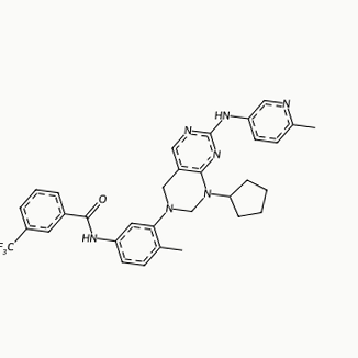 Cc1ccc(Nc2ncc3c(n2)N(C2CCCC2)CN(c2cc(NC(=O)c4cccc(C(F)(F)F)c4)ccc2C)C3)cn1